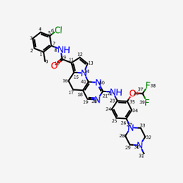 Cc1cccc(Cl)c1NC(=O)c1ccn2c1CCc1cnc(Nc3ccc(N4CCN(C)CC4)cc3OC(F)F)nc1-2